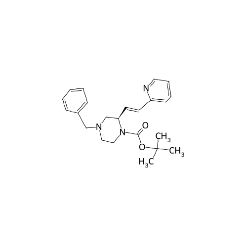 CC(C)(C)OC(=O)N1CCN(Cc2ccccc2)C[C@H]1/C=C/c1ccccn1